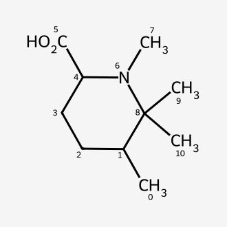 CC1CCC(C(=O)O)N(C)C1(C)C